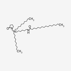 CCCCCCCCCCCCCCCC(=O)NCCCCCC[N+](CCCCCCCCCC)(CCCCCCCCCC)CN1CCCC1=O